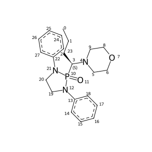 CCC[C@@H](N1CCOCC1)P1(=O)N(c2ccccc2)CCN1c1ccccc1